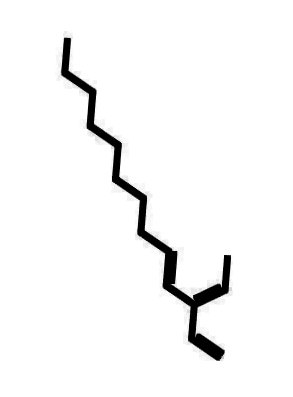 C=CC(C=CCCCCCCCC)=CC